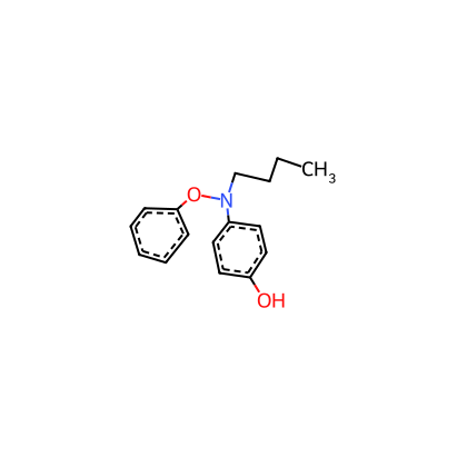 CCCCN(Oc1ccccc1)c1ccc(O)cc1